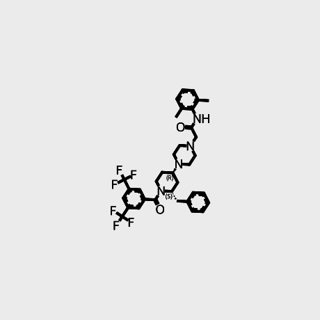 Cc1cccc(C)c1NC(=O)CN1CCN([C@@H]2CCN(C(=O)c3cc(C(F)(F)F)cc(C(F)(F)F)c3)[C@@H](Cc3ccccc3)C2)CC1